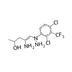 CC(O)C/C(N)=C/N(N)c1ccc(Cl)c(C(F)(F)F)c1Cl